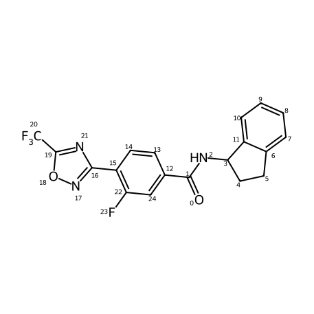 O=C(NC1CCc2ccccc21)c1ccc(-c2noc(C(F)(F)F)n2)c(F)c1